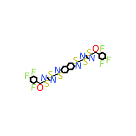 O=C(c1nc2sc(-c3nc4cc5cc6sc(-c7nc8sc(C(=O)c9cc(F)c(F)cc9F)nc8s7)nc6cc5cc4s3)nc2s1)c1cc(F)c(F)cc1F